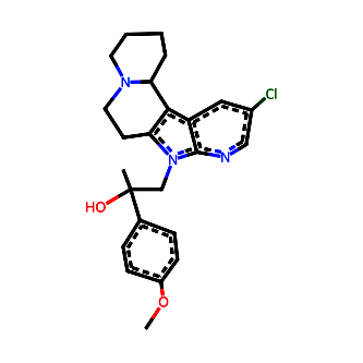 COc1ccc(C(C)(O)Cn2c3c(c4cc(Cl)cnc42)C2CCCCN2CC3)cc1